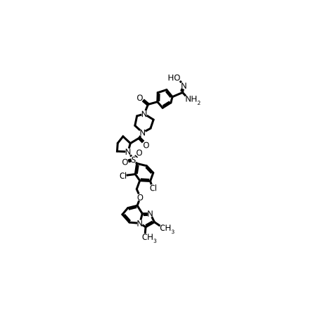 Cc1nc2c(OCc3c(Cl)ccc(S(=O)(=O)N4CCCC4C(=O)N4CCN(C(=O)c5ccc(/C(N)=N\O)cc5)CC4)c3Cl)cccn2c1C